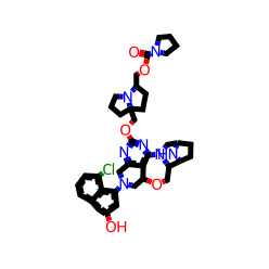 O=C(OCC1CCC2(COc3nc4c5c(n3)N3CC6CCC(N6)C3COC5CN(c3cc(O)cc5cccc(Cl)c35)C4)CCCN12)N1CCCC1